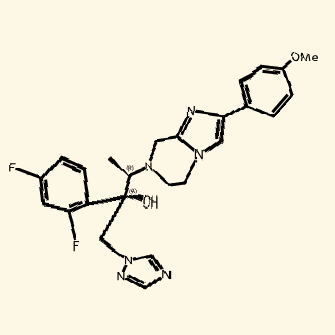 COc1ccc(-c2cn3c(n2)CN([C@H](C)[C@](O)(Cn2cncn2)c2ccc(F)cc2F)CC3)cc1